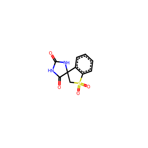 O=C1NC(=O)C2(CS(=O)(=O)c3ccccc32)N1